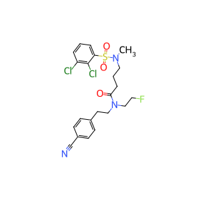 CN(CCCC(=O)N(CCF)CCc1ccc(C#N)cc1)S(=O)(=O)c1cccc(Cl)c1Cl